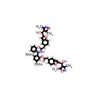 COc1cc(OC)c(C(NC(=O)Cc2ccc3oc(C(O)c4c(C)noc4C)cc3c2)c2ccccc2)c(OC(=O)Cc2ccc3oc(C(O)c4c(C)noc4C)cc3c2)c1